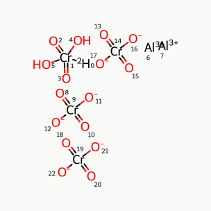 [2H][Cr](=[O])(=[O])([OH])[OH].[Al+3].[Al+3].[O]=[Cr](=[O])([O-])[O-].[O]=[Cr](=[O])([O-])[O-].[O]=[Cr](=[O])([O-])[O-]